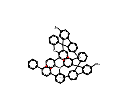 CC(C)(C)c1ccc2c(c1)C1(c3ccccc3-c3ccc(N(c4ccccc4-c4ccc(-c5ccccc5)cc4)c4ccccc4-c4cccc5c4Oc4ccccc4C54c5cc(C(C)(C)C)ccc5-c5ccc(C(C)(C)C)cc54)cc31)c1cc(C(C)(C)C)ccc1-2